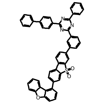 O=S1(=O)c2cc(-c3cccc(-c4nc(-c5ccccc5)nc(-c5ccc(-c6ccccc6)cc5)n4)c3)ccc2-c2ccc(-c3cccc4oc5ccccc5c34)cc21